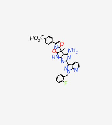 CC1(c2nc(-c3ccc(C(=O)O)cc3)co2)C(=O)Nc2nc(-c3nn(Cc4ccccc4F)c4ncccc34)nc(N)c21